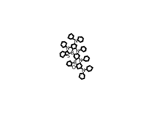 c1ccc(N(c2ccccc2)c2cc3c4c(c2)N(c2ccccc2)c2cc5c(cc2B4c2ccccc2O3)B2c3sc4ccccc4c3N(c3ccccc3)c3cc(N(c4ccccc4)c4ccccc4)cc(c32)N5c2ccccc2)cc1